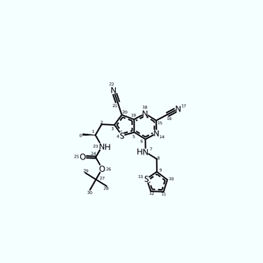 C[C@@H](Cc1sc2c(NCc3cccs3)nc(C#N)nc2c1C#N)NC(=O)OC(C)(C)C